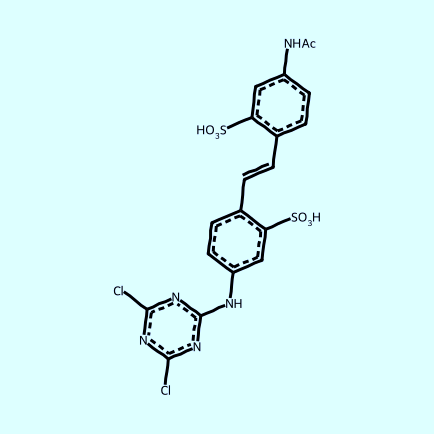 CC(=O)Nc1ccc(C=Cc2ccc(Nc3nc(Cl)nc(Cl)n3)cc2S(=O)(=O)O)c(S(=O)(=O)O)c1